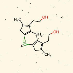 CC1=C(CCO)C([SiH2]C2=C(Cl)CC(C)=C2CCO)=C(Cl)C1.[Zr]